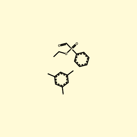 CCOP(=O)(C=O)c1ccccc1.Cc1cc(C)cc(C)c1